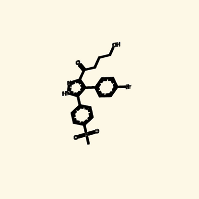 CS(=O)(=O)c1ccc(-c2[nH]nc(C(=O)CCCO)c2-c2ccc(Br)cc2)cc1